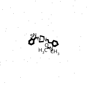 CC(=O)N(C)c1ccccc1CCN1CCN(c2nsc3ccccc23)CC1